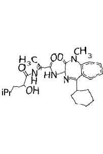 CC(C)CC(O)C(=O)N[C@@H](C)C(=O)NC1N=C(C2CCCCC2)c2ccccc2N(C)C1=O